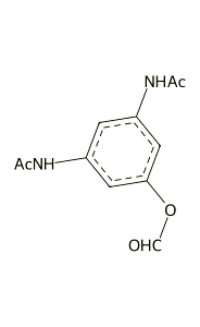 CC(=O)Nc1cc(NC(C)=O)cc(OC=O)c1